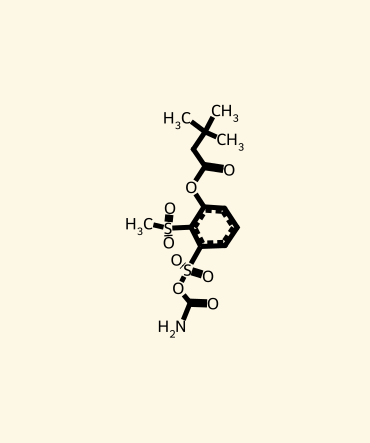 CC(C)(C)CC(=O)Oc1cccc(S(=O)(=O)OC(N)=O)c1S(C)(=O)=O